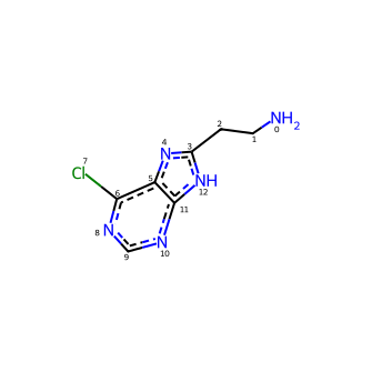 NCCc1nc2c(Cl)ncnc2[nH]1